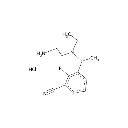 CCN(CCN)C(C)c1cccc(C#N)c1F.Cl